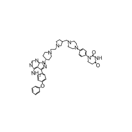 Nc1ncnc2c1c(-c1ccc(Oc3ccccc3)cc1)nn2C1CCN(CCN2CCC(CN3CCN(c4ccc(N5CCC(=O)NC5=O)cc4)CC3)C2)CC1